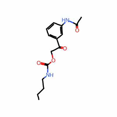 CCCCNC(=O)OCC(=O)c1cccc(NC(C)=O)c1